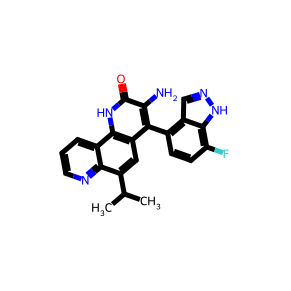 CC(C)c1cc2c(-c3ccc(F)c4[nH]ncc34)c(N)c(=O)[nH]c2c2cccnc12